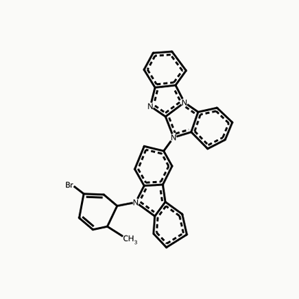 CC1C=CC(Br)=CC1n1c2ccccc2c2cc(-n3c4ccccc4n4c5ccccc5nc34)ccc21